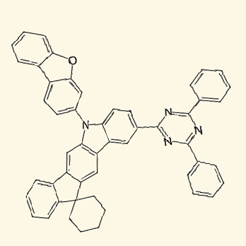 c1ccc(-c2nc(-c3ccccc3)nc(-c3ccc4c(c3)c3cc5c(cc3n4-c3ccc4c(c3)oc3ccccc34)-c3ccccc3C53CCCCC3)n2)cc1